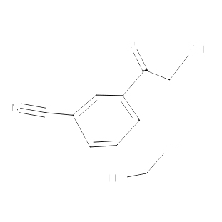 CCC(=O)c1cccc(C#N)c1.CCO